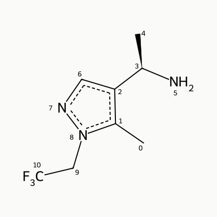 Cc1c([C@@H](C)N)cnn1CC(F)(F)F